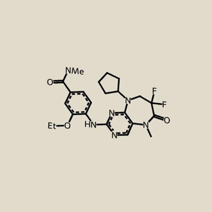 CCOc1cc(C(=O)NC)ccc1Nc1ncc2c(n1)N(C1CCCC1)CC(F)(F)C(=O)N2C